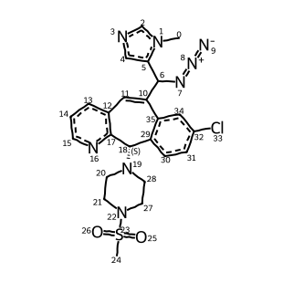 Cn1cncc1C(N=[N+]=[N-])C1=Cc2cccnc2[C@@H](N2CCN(S(C)(=O)=O)CC2)c2ccc(Cl)cc21